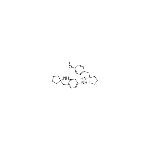 COc1ccc(CC2(NNc3ccc(CC4(N)CCCC4)cc3)CCCC2)cc1